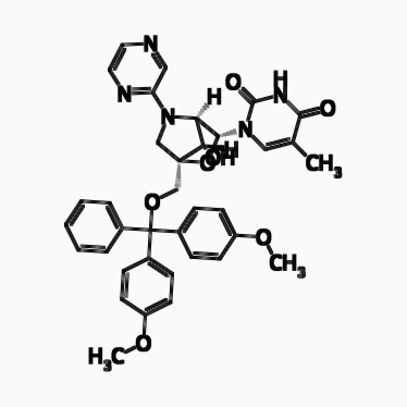 COc1ccc(C(OC[C@@]23CN(c4cnccn4)[C@@H]([C@H](n4cc(C)c(=O)[nH]c4=O)O2)[C@@H]3O)(c2ccccc2)c2ccc(OC)cc2)cc1